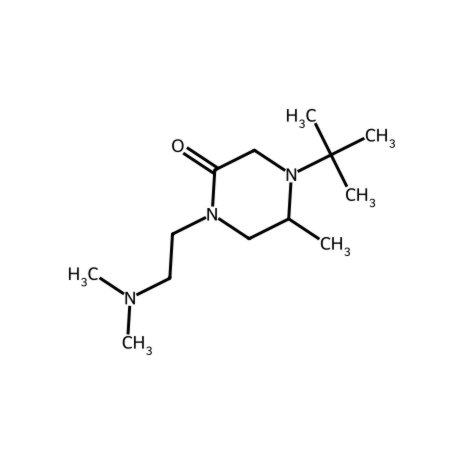 CC1CN(CCN(C)C)C(=O)CN1C(C)(C)C